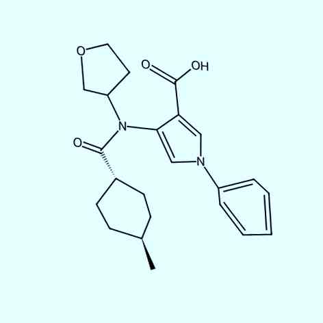 C[C@H]1CC[C@H](C(=O)N(c2cn(-c3ccccc3)cc2C(=O)O)C2CCOC2)CC1